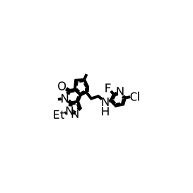 CCn1ncc2c3c(CCNc4ccc(Cl)nc4F)cc(C)cc3c(=O)n(C)c21